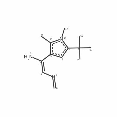 C=N/C=C(/N)c1cc(C(C)(C)C)n(C)c1C